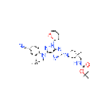 C[C@H]1CCN(c2nn(C3CCCCO3)c3nc(N4CCC(C)(CNC(=O)OC(C)(C)C)CC4)cnc23)c2ccc(C#N)cc21